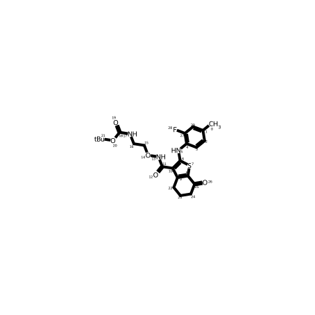 Cc1ccc(Nc2sc3c(c2C(=O)NOCCNC(=O)OC(C)(C)C)CCCC3=O)c(F)c1